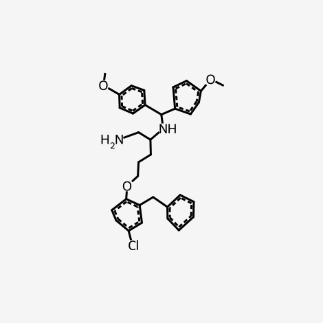 COc1ccc(C(NC(CN)CCCOc2ccc(Cl)cc2Cc2ccccc2)c2ccc(OC)cc2)cc1